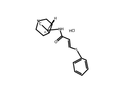 Cl.O=C(C=CSc1ccccc1)N[C@H]1CN2CCC1CC2